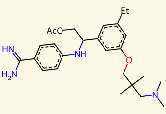 CCc1cc(OCC(C)(C)CN(C)C)cc(C(COC(C)=O)Nc2ccc(C(=N)N)cc2)c1